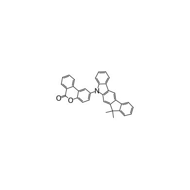 CC1(C)c2ccccc2-c2cc3c4ccccc4n(-c4ccc5oc(=O)c6ccccc6c5c4)c3cc21